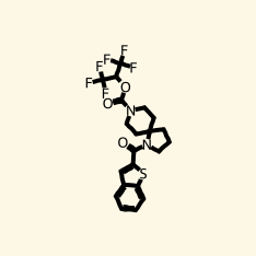 O=C(OC(C(F)(F)F)C(F)(F)F)N1CCC2(CCCN2C(=O)c2cc3ccccc3s2)CC1